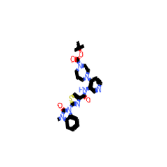 Cn1c(=O)n(-c2nc(C(=O)Nc3cnccc3N3CCCN(C(=O)OC(C)(C)C)CC3)cs2)c2ccccc21